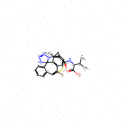 Cc1ccc2sc3c(Br)c2c1C1(NN=NN1C1CC1C(=O)N[C@H](C(=O)O)C(C)C)c1ccccc1-3